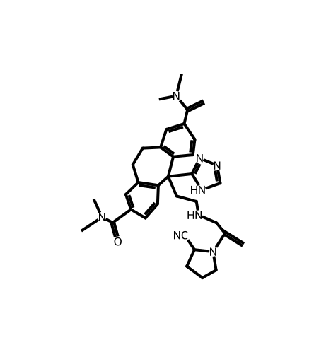 C=C(c1ccc2c(c1)CCc1cc(C(=O)N(C)C)ccc1C2(CCNCC(=C)N1CCCC1C#N)c1nnc[nH]1)N(C)C